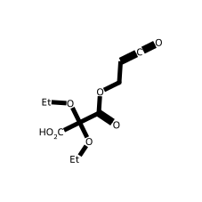 CCOC(OCC)(C(=O)O)C(=O)OCC=C=O